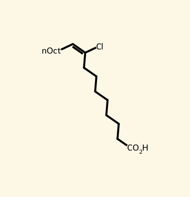 CCCCCCCC/C=C(/Cl)CCCCCCCC(=O)O